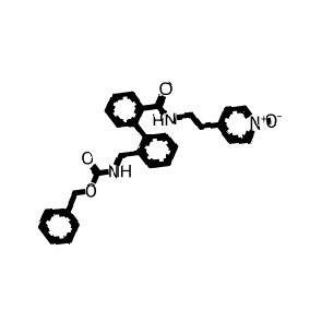 O=C(NCc1ccccc1-c1ccccc1C(=O)NCCc1cc[n+]([O-])cc1)OCc1ccccc1